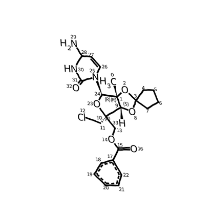 C[C@@]12OC3(CCCC3)O[C@@H]1[C@@](CCl)(COC(=O)c1ccccc1)O[C@H]2N1C=CC(N)NC1=O